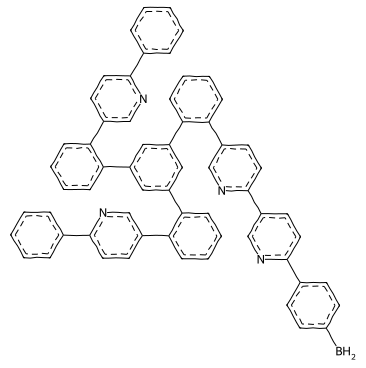 Bc1ccc(-c2ccc(-c3ccc(-c4ccccc4-c4cc(-c5ccccc5-c5ccc(-c6ccccc6)nc5)cc(-c5ccccc5-c5ccc(-c6ccccc6)nc5)c4)cn3)cn2)cc1